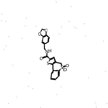 O=C(NCc1ccc2c(c1)OCO2)c1cc2c(s1)-c1ccccc1S(=O)(=O)C2